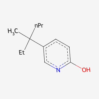 CCCC(C)(CC)c1ccc(O)nc1